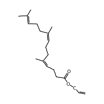 C=CCOC(=O)CCC=C(C)CCC=C(C)CCC=C(C)C